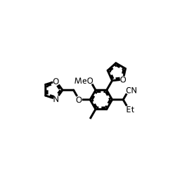 CCC(C#N)c1cc(C)c(OCc2ncco2)c(OC)c1-c1ccco1